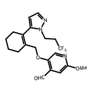 COc1cc(C=O)c(OCC2=C(c3ccnn3CCC(F)(F)F)CCCC2)cn1